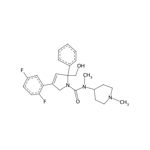 CN1CCC(N(C)C(=O)N2CC(c3cc(F)ccc3F)=CC2(CO)c2ccccc2)CC1